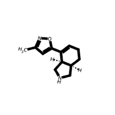 Cc1cc(C2=CCC[C@H]3CNC[C@@H]23)on1